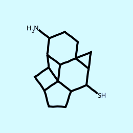 NC1CCC23CC2C(S)C2CCC4CC5C1C3C425